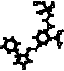 O=[N+]([O-])c1cc(CSc2nnnn2-c2ccccc2)ccc1OCCS(=O)(=O)CCl